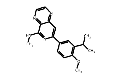 CNc1nc(-c2ccc(OC)c(C(C)C)c2)cc2nccnc12